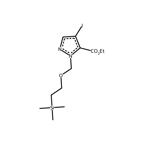 CCOC(=O)c1c(I)cnn1COCC[Si](C)(C)C